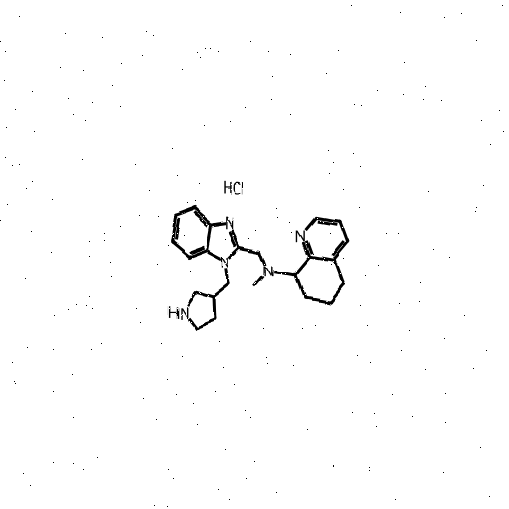 CN(Cc1nc2ccccc2n1CC1CCNC1)C1CCCc2cccnc21.Cl